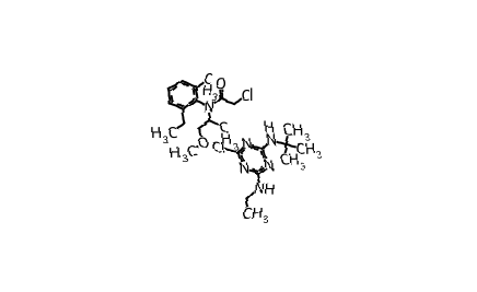 CCNc1nc(Cl)nc(NC(C)(C)C)n1.CCc1cccc(C)c1N(C(=O)CCl)C(C)COC